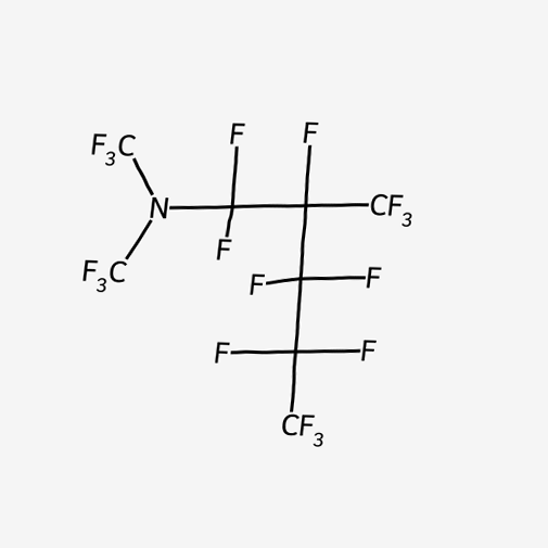 FC(F)(F)N(C(F)(F)F)C(F)(F)C(F)(C(F)(F)F)C(F)(F)C(F)(F)C(F)(F)F